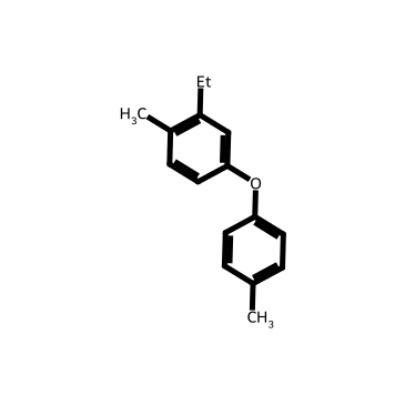 CCc1cc(Oc2ccc(C)cc2)ccc1C